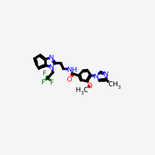 COc1cc(C(=O)NCCc2nc3ccccc3n2CC(F)(F)F)ccc1-n1cnc(C)c1